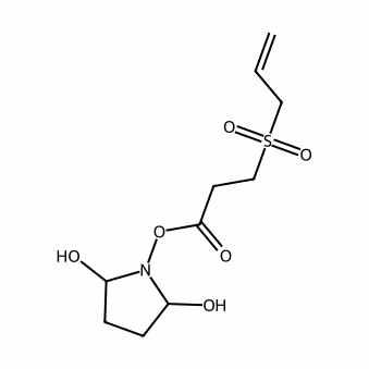 C=CCS(=O)(=O)CCC(=O)ON1C(O)CCC1O